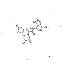 COC1C[C@H](c2ccc(F)cc2)N(C(=O)C(=O)Nc2cnc(N)c3cn[nH]c23)C[C@H]1C